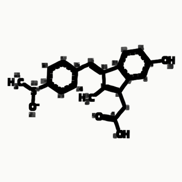 CC1=C(CC(=O)O)c2cc(O)ccc2C1=Cc1ccc([S+](C)[O-])cc1